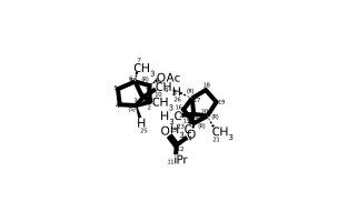 CC(=O)O[C@@H]1C[C@@H]2CC[C@]1(C)C2(C)C.CC(C)C(=O)O[C@@H]1C[C@H]2CC[C@]1(C)C2(C)C